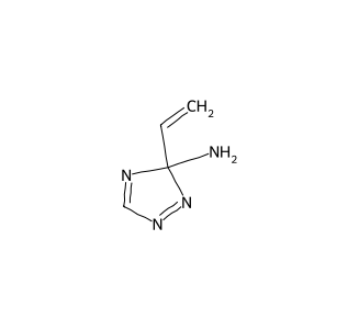 C=CC1(N)N=CN=N1